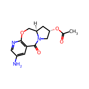 CC(=O)O[C@H]1C[C@@H]2COc3ncc(N)cc3C(=O)N2C1